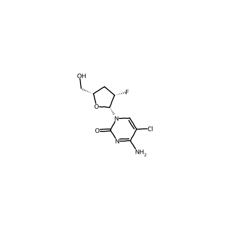 Nc1nc(=O)n([C@@H]2O[C@H](CO)C[C@@H]2F)cc1Cl